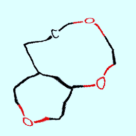 C1CC2COCC2OCO1